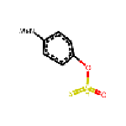 CNc1ccc(O[SH](=O)=S)cc1